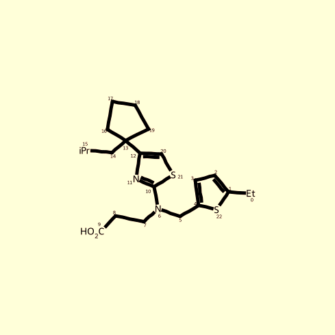 CCc1ccc(CN(CCC(=O)O)c2nc(C3(CC(C)C)CCCC3)cs2)s1